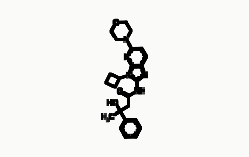 CC(O)(CC(=O)Nc1nc2ccc(N3CCOCC3)nc2n1C1CCC1)c1ccccc1